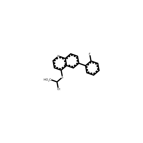 CCC(Sc1ccnc2ccc(-c3ccccc3F)cc12)C(=O)O